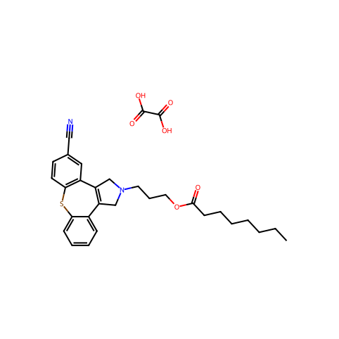 CCCCCCCC(=O)OCCCN1CC2=C(C1)c1cc(C#N)ccc1Sc1ccccc12.O=C(O)C(=O)O